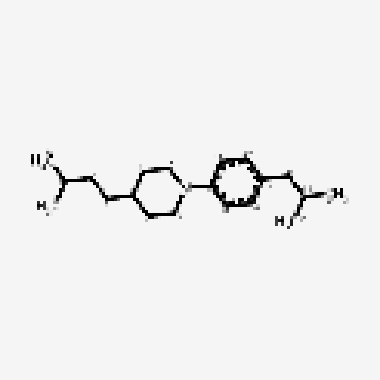 CC(C)CCC1CCN(c2ccc(CC(C)C)cc2)CC1